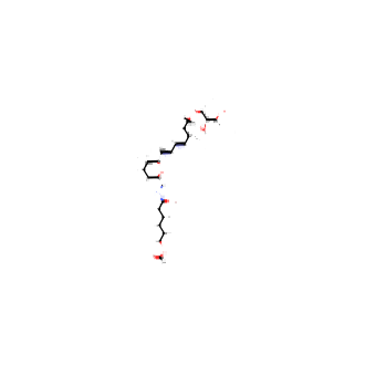 CO[C@@H]([C@@H](C)O)[C@@H](C)OC(C)(C)C[C@H](C)/C=C/C=C(\C)[C@H]1O[C@@H](CNC(=O)CCCCCOC(C)=O)CC[C@@H]1C